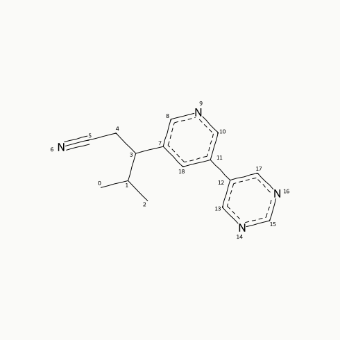 CC(C)C(CC#N)c1cncc(-c2cncnc2)c1